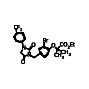 CCOC(=O)C(C)(C)Oc1ccc(CN2C(=O)CN(c3ccc(C(F)(F)F)cc3)C2=O)cc1Br